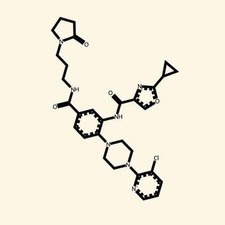 O=C(NCCCN1CCCC1=O)c1ccc(N2CCN(c3ncccc3Cl)CC2)c(NC(=O)c2coc(C3CC3)n2)c1